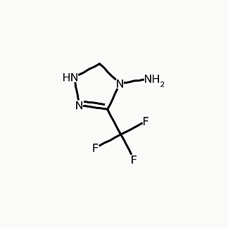 NN1CNN=C1C(F)(F)F